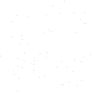 CCCCCCCCC=CCCCCCCCCc1nccn1C.Cl